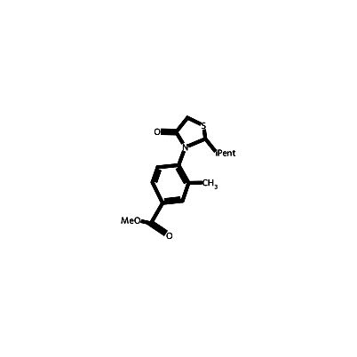 CCCC(C)C1SCC(=O)N1c1ccc(C(=O)OC)cc1C